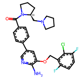 Nc1ncc(-c2ccc(C(=O)N3CCC[C@H]3CN3CCCC3)cc2)cc1OCc1c(F)ccc(F)c1Cl